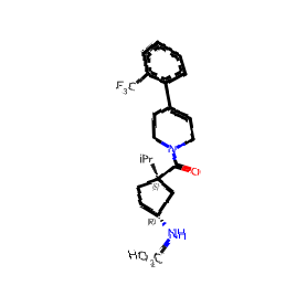 CC(C)[C@]1(C(=O)N2CC=C(c3ccccc3C(F)(F)F)CC2)CC[C@@H](NC(=O)O)C1